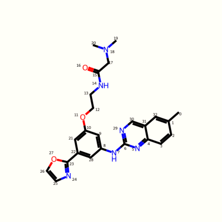 Cc1ccc2nc(Nc3cc(OCCNC(=O)CN(C)C)cc(-c4ncco4)c3)ncc2c1